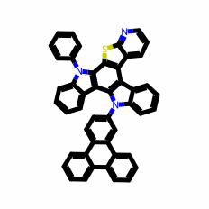 c1ccc(-n2c3ccccc3c3c2c2sc4ncccc4c2c2c4ccccc4n(-c4ccc5c6ccccc6c6ccccc6c5c4)c23)cc1